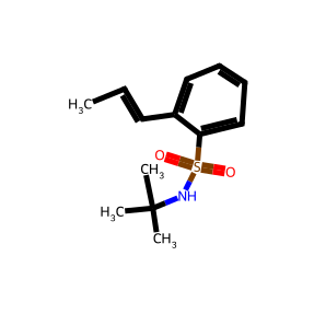 CC=Cc1ccccc1S(=O)(=O)NC(C)(C)C